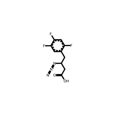 [N-]=[N+]=NC(CC(=O)O)Cc1cc(F)c(F)cc1F